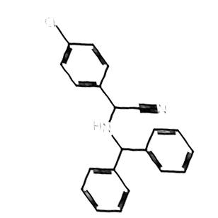 N#CC(NC(c1ccccc1)c1ccccc1)c1ccc(Cl)cc1